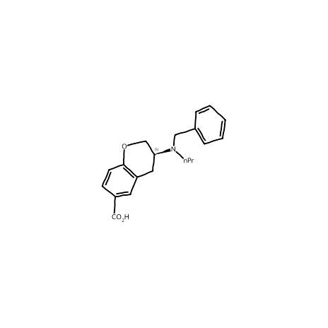 CCCN(Cc1ccccc1)[C@@H]1COc2ccc(C(=O)O)cc2C1